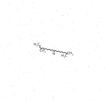 CCCC(C)CCCCCCCNCCCCCCCC(C)C